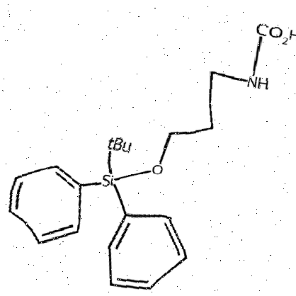 CC(C)(C)[Si](OCCCNC(=O)O)(c1ccccc1)c1ccccc1